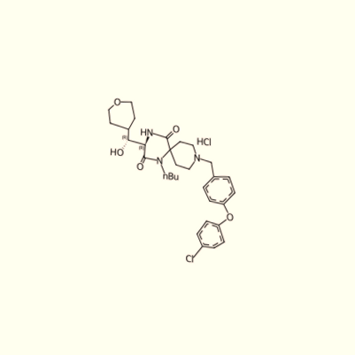 CCCCN1C(=O)[C@@H]([C@H](O)C2CCOCC2)NC(=O)C12CCN(Cc1ccc(Oc3ccc(Cl)cc3)cc1)CC2.Cl